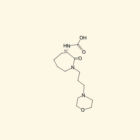 O=C(O)N[C@H]1CCCCN(CCCN2CCOCC2)C1=O